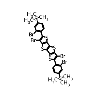 C[Si](C)(C)c1ccc(-c2sc3c(sc4c5sc(-c6ccc([Si](C)(C)C)cc6Br)c(Br)c5sc34)c2Br)c(Br)c1